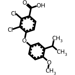 COc1ccc(Oc2ccc(C(=O)O)c(Cl)c2Cl)cc1C(C)C